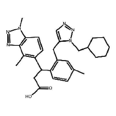 Cc1ccc(C(CC(=O)O)c2ccc3c(nnn3C)c2C)c(Cc2cnnn2CC2CCCCC2)c1